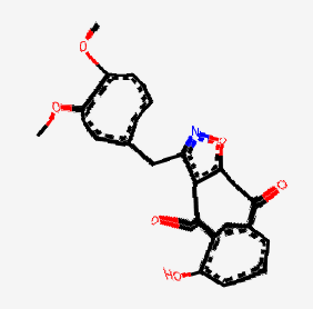 COc1ccc(Cc2noc3c2C(=O)c2c(O)cccc2C3=O)cc1OC